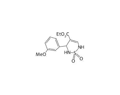 CCOC(=O)C1=CNS(=O)(=O)NC1c1cccc(OC)c1